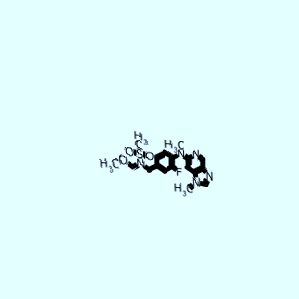 COCN(Cc1ccc(N(C)c2cc3c(cn2)ncn3C)c(F)c1)S(C)(=O)=O